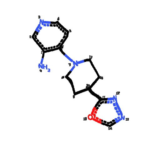 Nc1cnccc1N1CCC(c2nnco2)CC1